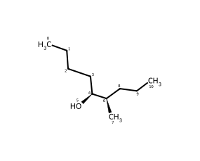 CCCC[C@H](O)[C@H](C)CCC